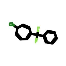 FC(F)(C1=CC=CC(Cl)C=C1)c1ccccc1